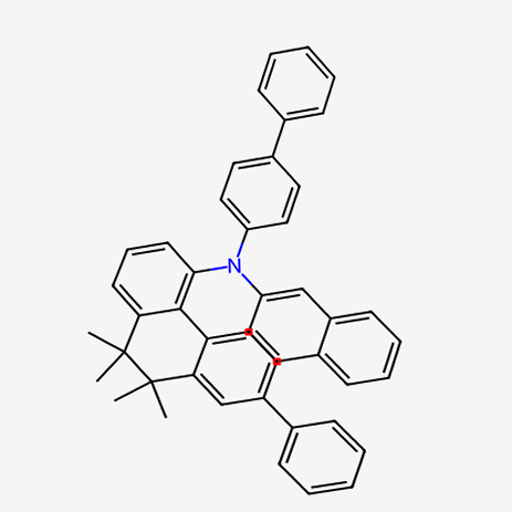 CC1(C)c2cc(-c3ccccc3)ccc2-c2c(N(c3ccc(-c4ccccc4)cc3)c3ccc4ccccc4c3)cccc2C1(C)C